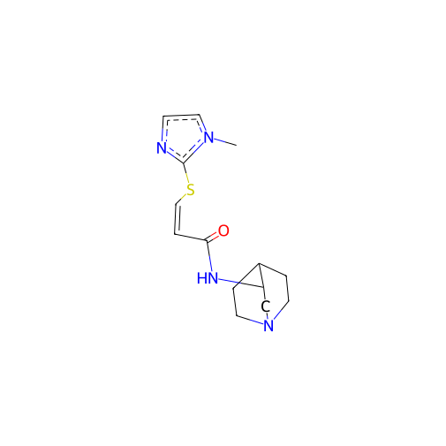 Cn1ccnc1S/C=C\C(=O)NC1CN2CCC1CC2